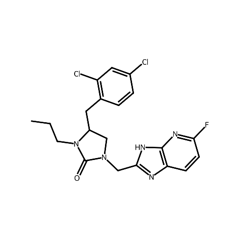 CCCN1C(=O)N(Cc2nc3ccc(F)nc3[nH]2)CC1Cc1ccc(Cl)cc1Cl